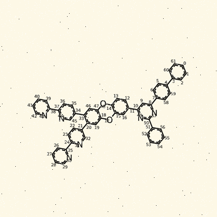 c1ccc(-c2ccc(-c3cc(-c4ccc5c(c4)Oc4cc(-c6ccc(-c7ccccn7)nc6)c(-c6ccc(-c7ccccn7)nc6)cc4O5)nc(-c4ccccc4)n3)cc2)cc1